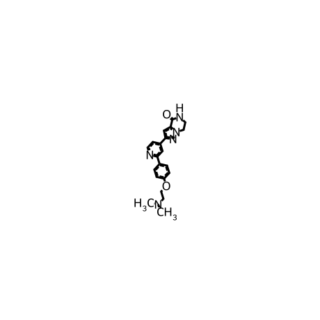 CN(C)CCOc1ccc(-c2cc(-c3cc4n(n3)CCNC4=O)ccn2)cc1